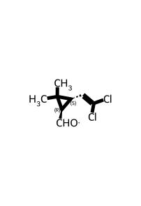 CC1(C)[C@H]([C]=O)[C@H]1C=C(Cl)Cl